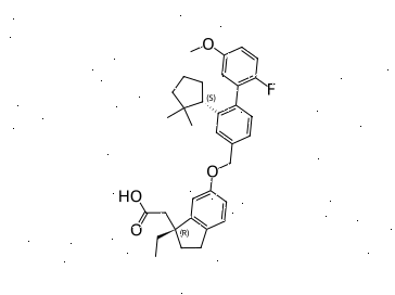 CC[C@]1(CC(=O)O)CCc2ccc(OCc3ccc(-c4cc(OC)ccc4F)c([C@H]4CCCC4(C)C)c3)cc21